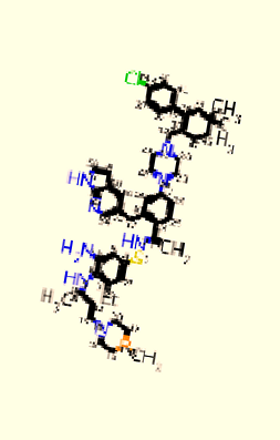 C=C(NSc1cc(N)c(N[C@@H](C)CCN2CCP(C)CC2)c(CC)c1)c1ccc(N2CCN(CC3=C(c4ccc(Cl)cc4)CC(C)(C)CC3)CC2)cc1Cc1cnc2[nH]ccc2c1